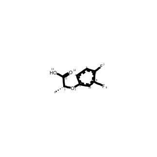 C[C@@H](Oc1ccc(F)c(F)c1)C(=O)O